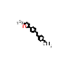 C=CC1CCC(CCc2ccc(C3CCC(CCC)OC3)cc2)CC1